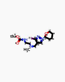 CN(CCNC(=O)OC(C)(C)C)Cc1cn([C@H]2CCCCO2)nc1I